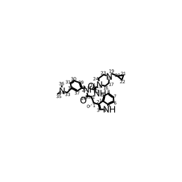 C[C@@H](c1c[nH]c2ccccc12)[C@@H](NC(=O)N1CCN(CC2CC2)CC1)C(=O)Nc1cccc(CN(C)C)c1